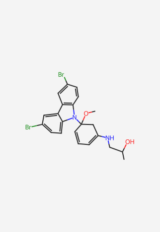 COC1(n2c3ccc(Br)cc3c3cc(Br)ccc32)C=CC=C(NCC(C)O)C1